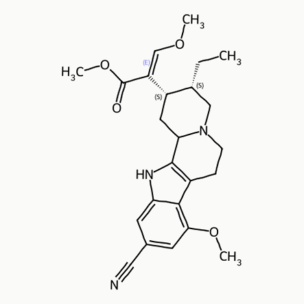 CC[C@@H]1CN2CCc3c([nH]c4cc(C#N)cc(OC)c34)C2C[C@@H]1/C(=C\OC)C(=O)OC